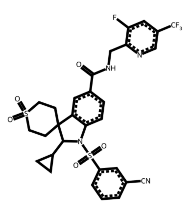 N#Cc1cccc(S(=O)(=O)N2c3ccc(C(=O)NCc4ncc(C(F)(F)F)cc4F)cc3C3(CCS(=O)(=O)CC3)C2C2CC2)c1